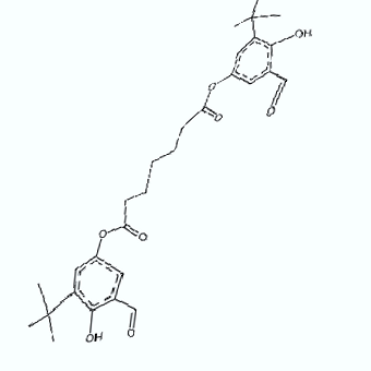 CC(C)(C)c1cc(OC(=O)CCCCCC(=O)Oc2cc(C=O)c(O)c(C(C)(C)C)c2)cc(C=O)c1O